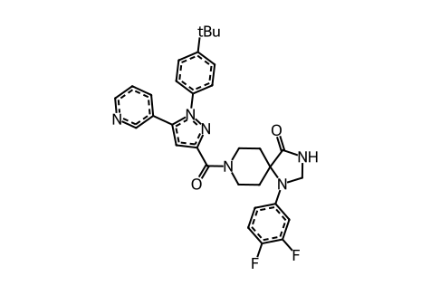 CC(C)(C)c1ccc(-n2nc(C(=O)N3CCC4(CC3)C(=O)NCN4c3ccc(F)c(F)c3)cc2-c2cccnc2)cc1